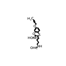 CC#CCOc1ccc(SC(CCCCNC=O)C(=O)NO)cc1